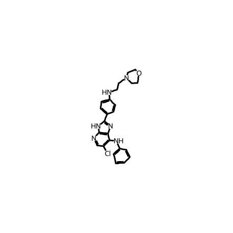 Clc1cnc2[nH]c(-c3ccc(NCCN4CCOCC4)cc3)nc2c1Nc1ccccc1